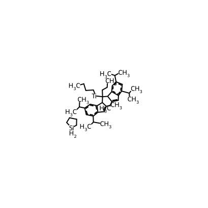 C1CC[SiH2]C1.CCC[CH2][Ti][C](CCC)(C1C(C)=Cc2c(C(C)C)cc(C(C)C)cc21)C1C(C)=Cc2c(C(C)C)cc(C(C)C)cc21